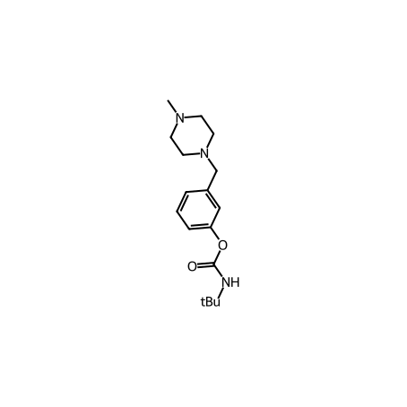 CN1CCN(Cc2cccc(OC(=O)NC(C)(C)C)c2)CC1